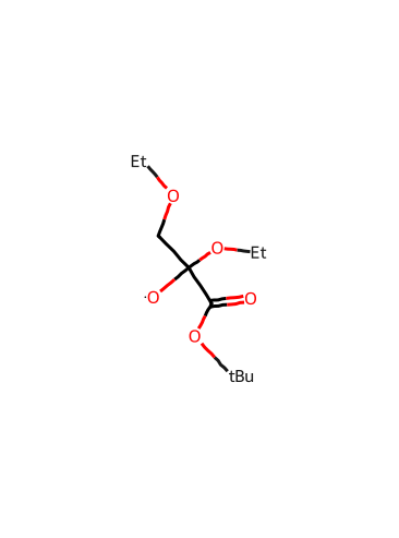 CCOCC([O])(OCC)C(=O)OC(C)(C)C